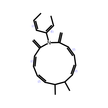 C=C1/C=C\C=C/C(C)C(C)/C=C\C=C/C(=C)N1C(/C=C\C)=C/C